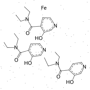 CCN(CC)C(=O)c1ccncc1O.CCN(CC)C(=O)c1ccncc1O.CCN(CC)C(=O)c1ccncc1O.[Fe]